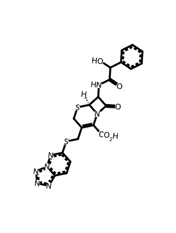 O=C(O)C1=C(CSc2ccc3nnnn3n2)CS[C@H]2C(NC(=O)C(O)c3ccccc3)C(=O)N12